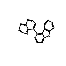 c1cnc2c(-c3nccc4sc5cnccc5c34)cccc2c1